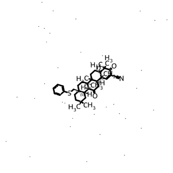 CC1(C)CC[C@]2(CSc3ccccc3)CC[C@]3(C)[C@H](C(=O)C[C@@H]4[C@@]5(C)C=C(C#N)C(=O)C(C)(C)[C@@H]5CC[C@]43C)[C@@H]2C1